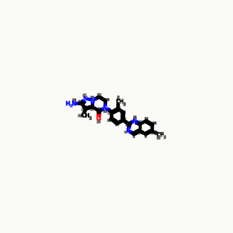 Cc1cc(-c2ncc3cc(C(F)(F)F)ccc3n2)ccc1N1CCn2nc(N)c(C)c2C1=O